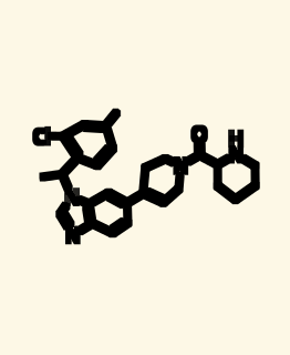 Cc1ccc(C(C)n2cnc3ccc(C4=CCN(C(=O)C5CCCCN5)CC4)cc32)c(Cl)c1